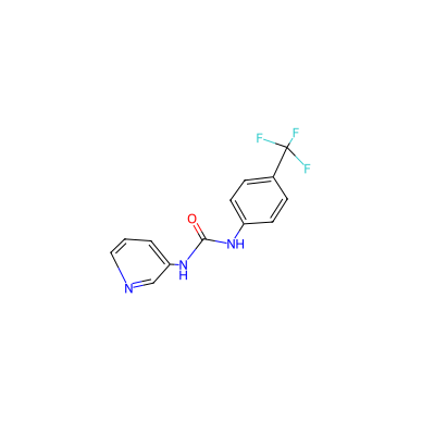 O=C(Nc1ccc(C(F)(F)F)cc1)Nc1cccnc1